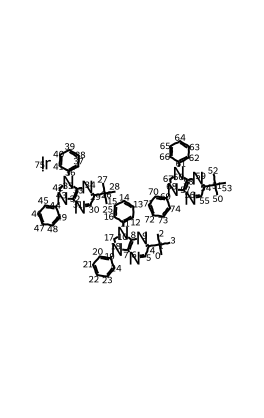 CC(C)(C)c1cnc2c(n1)N(c1ccccc1)CN2c1ccccc1.CC(C)(C)c1cnc2c(n1)N(c1ccccc1)CN2c1ccccc1.CC(C)(C)c1cnc2c(n1)N(c1ccccc1)CN2c1ccccc1.[Ir]